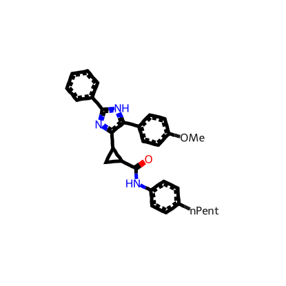 CCCCCc1ccc(NC(=O)C2CC2c2nc(-c3ccccc3)[nH]c2-c2ccc(OC)cc2)cc1